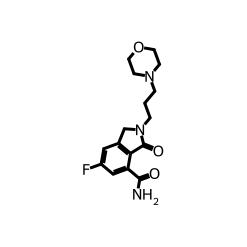 NC(=O)c1cc(F)cc2c1C(=O)N(CCCN1CCOCC1)C2